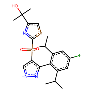 CC(C)c1cc(F)cc(C(C)C)c1-c1n[nH]cc1S(=O)(=O)c1nc(C(C)(C)O)cs1